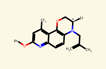 C=C(C)CN1c2ccc3nc(OC(C)C)cc(C(F)(F)F)c3c2OC[C@H]1CC